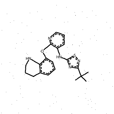 CC(C)(C)c1nsc(Nc2cccnc2Oc2cccc3c2NCCC3)n1